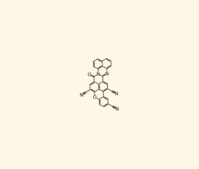 N#Cc1ccc2c(c1)-c1c(C#N)cc3c4c1c(c(C#N)cc4c(=O)n1c4cccc5cccc(nc31)c54)O2